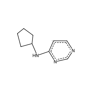 [c]1cncnc1NC1CCCC1